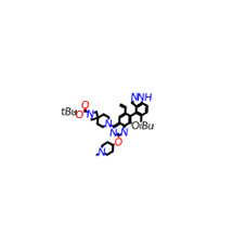 C=Cc1cc2c(N3CCC4(CC3)CN(C(=O)OC(C)(C)C)C4)nc(OC3CCN(C)CC3)nc2c(OCC(C)C)c1-c1c(C)ccc2[nH]ncc12